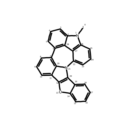 In1c2cccc3c4cccc5c6oc7ccccc7c6n(c6cccc1c6c32)c45